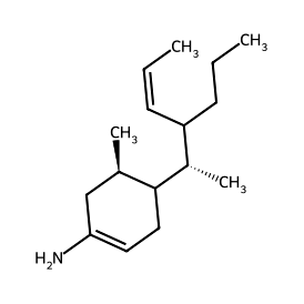 C/C=C\C(CCC)[C@H](C)C1CC=C(N)C[C@H]1C